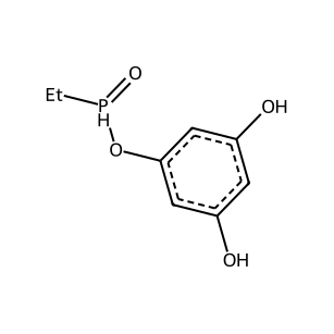 CC[PH](=O)Oc1cc(O)cc(O)c1